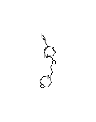 N#Cc1ccc(OCCN2CCOCC2)nc1